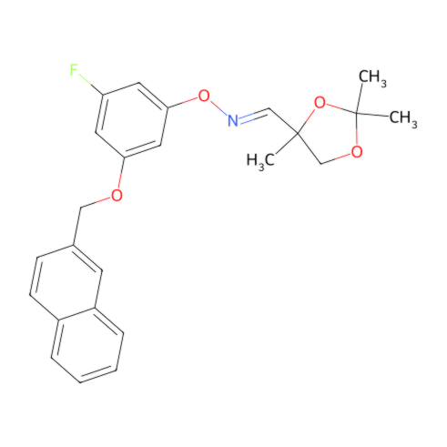 CC1(C=NOc2cc(F)cc(OCc3ccc4ccccc4c3)c2)COC(C)(C)O1